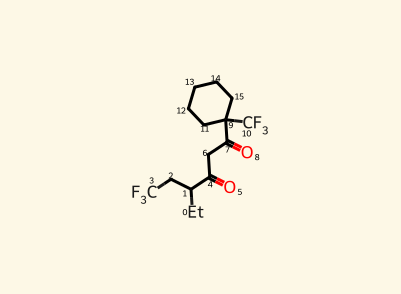 CCC(CC(F)(F)F)C(=O)CC(=O)C1(C(F)(F)F)CCCCC1